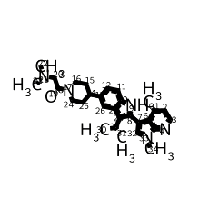 Cc1ccnc2c1c(-c1[nH]c3ccc(C4CCN(C(=O)CN(C)C)CC4)cc3c1C(C)C)cn2C